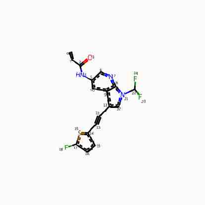 C=CC(=O)Nc1cnc2c(c1)c(C#Cc1ccc(F)s1)cn2C(F)F